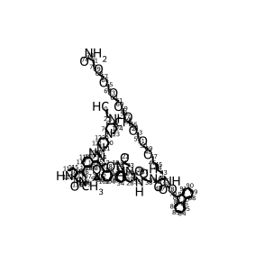 C#CCNC1(C)CCN(C2CCN(c3nc(C(COCNC(=O)CNC(=O)[C@H](Cc4ccccc4)NC(=O)CNC(=O)[C@H](CCCCCOCCOCCOCCOCCOCCOCCOCCOCCC(N)=O)NC(=O)OCC4c5ccccc5-c5ccccc54)(OC4CC4)c4ccccc4)c4cc(-c5cn(C)c(=O)c6[nH]ccc56)ccc4n3)CC2)CC1